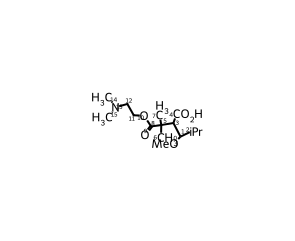 COC(C(C)C)C(C(=O)O)C(C)(C)C(=O)OCCN(C)C